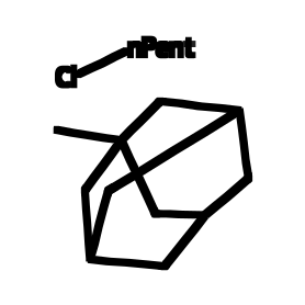 CC12CC3CC(CC(C3)C1)C2.CCCCCCl